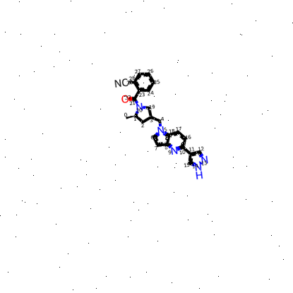 C[C@@H]1CC(Cn2ccc3nc(-c4cn[nH]c4)ccc32)CN1C(=O)c1ccccc1C#N